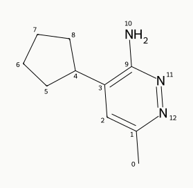 Cc1cc(C2CCCC2)c(N)nn1